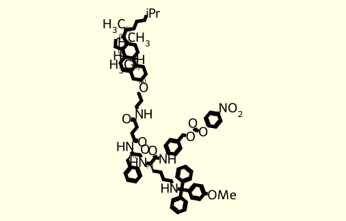 COc1ccc(C(NCCCC[C@@H](NC(=O)[C@@H](Cc2ccccc2)NC(=O)CCC(=O)NCCCO[C@H]2CC[C@@]3(C)C(=CC[C@H]4[C@@H]5CC[C@H]([C@H](C)CCCC(C)C)[C@@]5(C)CC[C@@H]43)C2)C(=O)Nc2ccc(COC(=O)Oc3ccc([N+](=O)[O-])cc3)cc2)(c2ccccc2)c2ccccc2)cc1